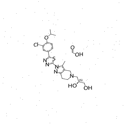 Cc1c2c(nn1-c1nnc(-c3ccc(OC(C)C)c(Cl)c3)s1)CCN(C[C@H](O)CO)C2.O=CO